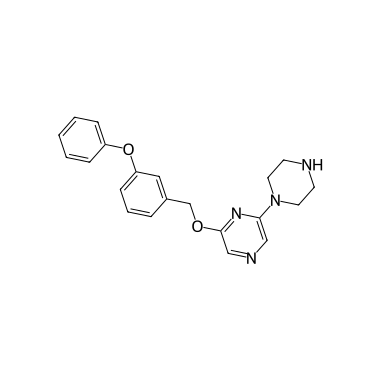 c1ccc(Oc2cccc(COc3cncc(N4CCNCC4)n3)c2)cc1